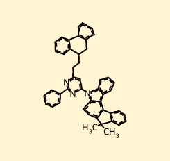 CC1(C)c2ccccc2-c2c1ccc1c2c2ccccc2n1-c1cc(CCC2Cc3ccccc3-c3ccccc32)nc(-c2ccccc2)n1